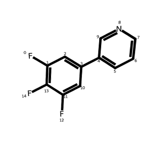 Fc1cc(-c2cccnc2)cc(F)c1F